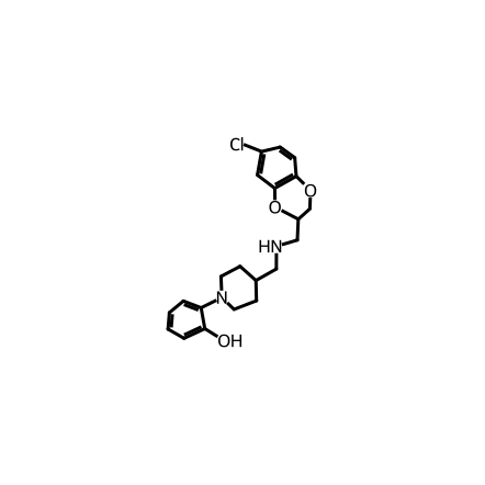 Oc1ccccc1N1CCC(CNCC2COc3ccc(Cl)cc3O2)CC1